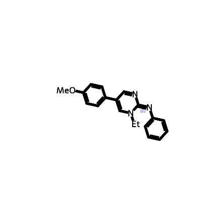 CCn1cc(-c2ccc(OC)cc2)cn/c1=N/c1ccccc1